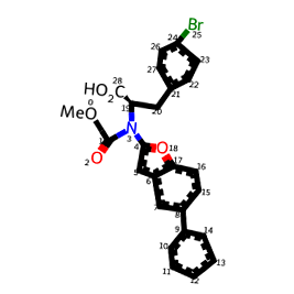 COC(=O)N(c1cc2cc(-c3ccccc3)ccc2o1)[C@H](Cc1ccc(Br)cc1)C(=O)O